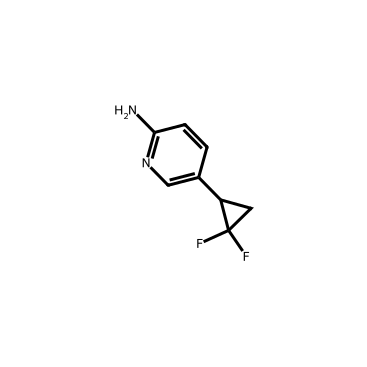 Nc1ccc(C2CC2(F)F)cn1